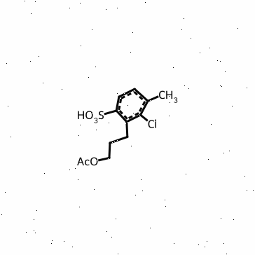 CC(=O)OCCCc1c(S(=O)(=O)O)ccc(C)c1Cl